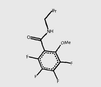 COc1c(F)c(F)c(F)c(F)c1C(=O)NCC(C)C